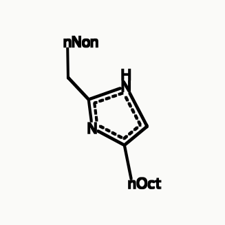 CCCCCCCCCCc1nc(CCCCCCCC)c[nH]1